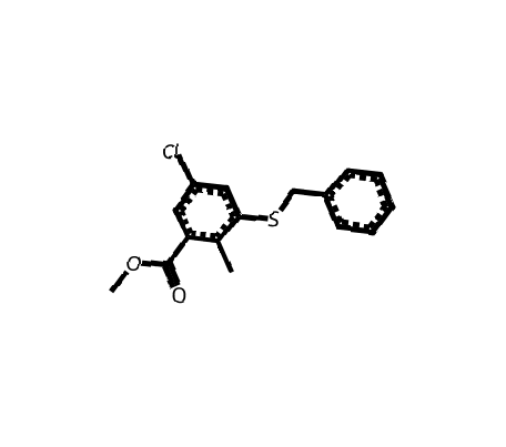 COC(=O)c1cc(Cl)cc(SCc2ccccc2)c1C